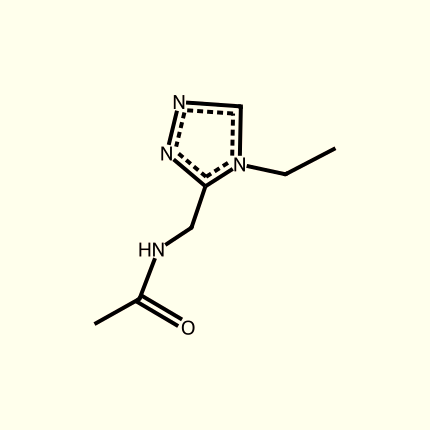 CCn1cnnc1CNC(C)=O